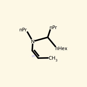 C/C=C\N(CCC)C(CCC)CCCCCC